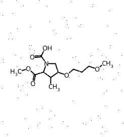 COCCCOC1CN(C(=O)O)C(C(=O)OC)C1C